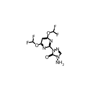 Nn1cnn(-c2nc(OC(F)F)cc(OC(F)F)n2)c1=O